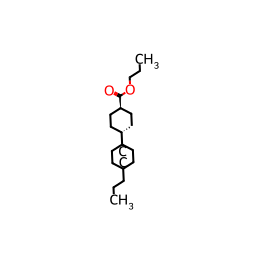 CCCOC(=O)[C@H]1CC[C@H](C23CCC(CCC)(CC2)CC3)CC1